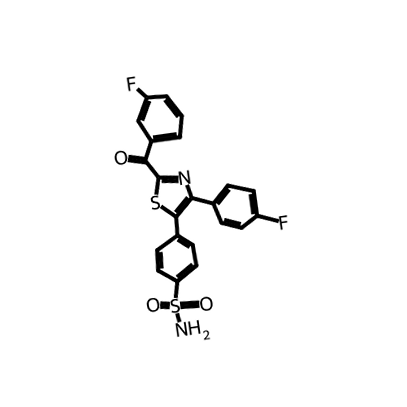 NS(=O)(=O)c1ccc(-c2sc(C(=O)c3cccc(F)c3)nc2-c2ccc(F)cc2)cc1